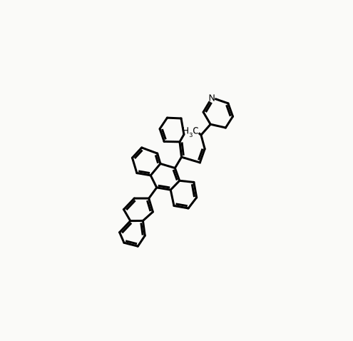 CC(/C=C\C(=C1\C=CCCC1)c1c2ccccc2c(-c2ccc3ccccc3c2)c2ccccc12)C1C=NC=CC1